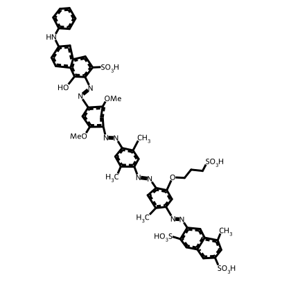 COc1cc(N=Nc2c(S(=O)(=O)O)cc3cc(Nc4ccccc4)ccc3c2O)c(OC)cc1N=Nc1cc(C)c(N=Nc2cc(C)c(N=Nc3cc4c(C)cc(S(=O)(=O)O)cc4cc3S(=O)(=O)O)cc2OCCCS(=O)(=O)O)cc1C